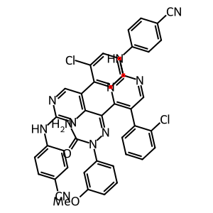 COc1cccc(N(N=C(c2nc(Nc3ccc(C#N)cc3)ncc2-c2ccccc2Cl)c2nc(Nc3ccc(C#N)cc3)ncc2-c2ccccc2Cl)C(N)=O)c1